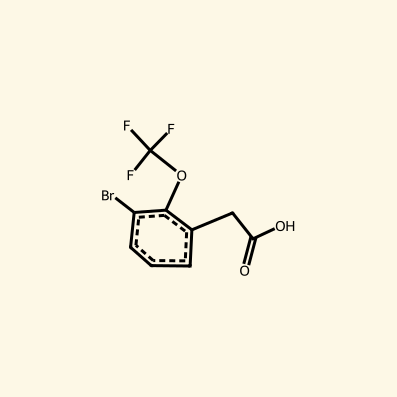 O=C(O)Cc1cccc(Br)c1OC(F)(F)F